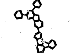 c1ccc(-c2nc(-c3ccccc3)c3c(n2)-c2cc(-c4ccc5c6cccc7c8ccccc8n(c5c4)c76)ccc2C3)cc1